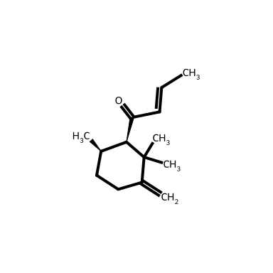 C=C1CC[C@@H](C)[C@@H](C(=O)/C=C/C)C1(C)C